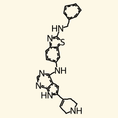 C1=C(c2cc3c(Nc4ccc5nc(NCc6ccccc6)sc5c4)ncnc3[nH]2)CCNC1